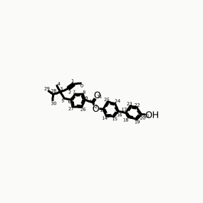 CC#CC(C)(Cc1ccc(C(=O)Oc2ccc(-c3ccc(O)cc3)cc2)cc1)C(C)C